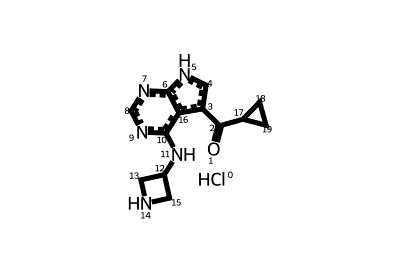 Cl.O=C(c1c[nH]c2ncnc(NC3CNC3)c12)C1CC1